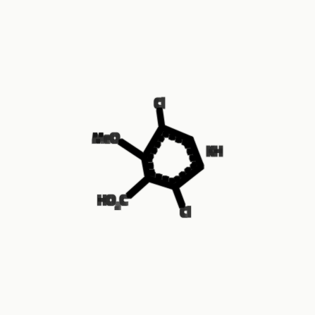 COc1c(Cl)ccc(Cl)c1C(=O)O.[KH]